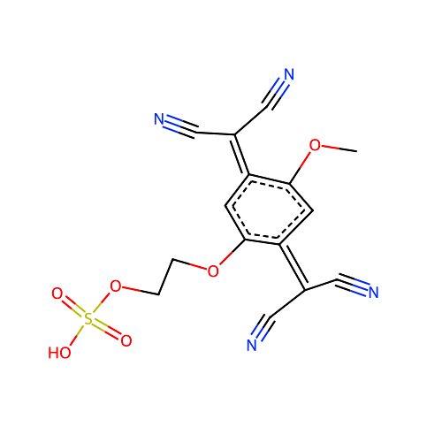 COc1cc(=C(C#N)C#N)c(OCCOS(=O)(=O)O)cc1=C(C#N)C#N